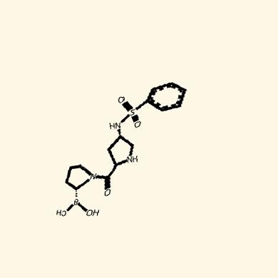 O=C(C1C[C@@H](NS(=O)(=O)c2ccccc2)CN1)N1CCC[C@H]1B(O)O